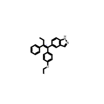 [CH2]COc1ccc(/C(=C(/CC)c2ccccc2)c2ccc3[nH]ncc3c2)cc1